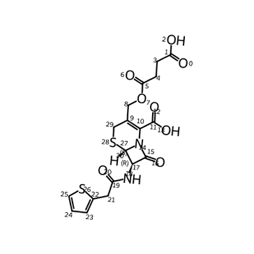 O=C(O)CCC(=O)OCC1=C(C(=O)O)N2C(=O)[C@@H](NC(=O)Cc3cccs3)[C@@H]2SC1